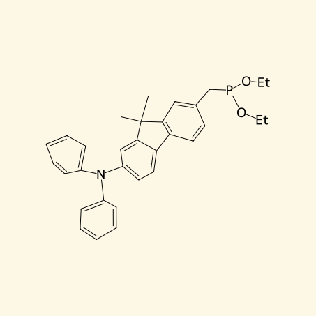 CCOP(Cc1ccc2c(c1)C(C)(C)c1cc(N(c3ccccc3)c3ccccc3)ccc1-2)OCC